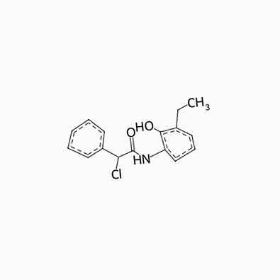 CCc1cccc(NC(=O)C(Cl)c2ccccc2)c1O